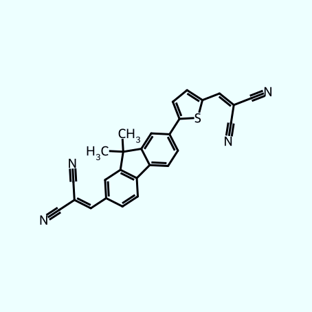 CC1(C)c2cc(C=C(C#N)C#N)ccc2-c2ccc(-c3ccc(C=C(C#N)C#N)s3)cc21